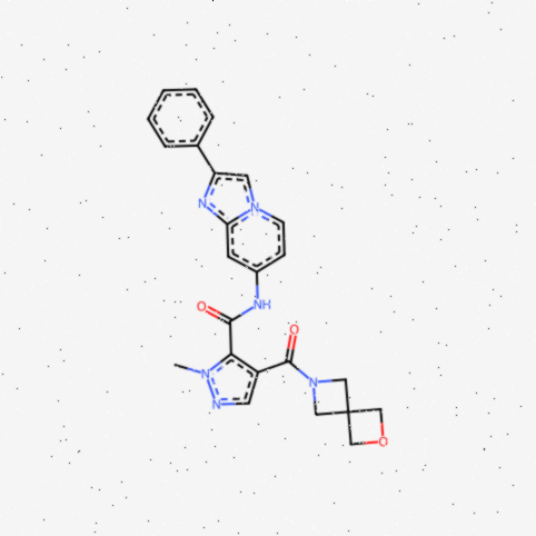 Cn1ncc(C(=O)N2CC3(COC3)C2)c1C(=O)Nc1ccn2cc(-c3ccccc3)nc2c1